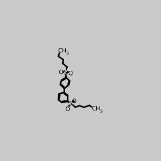 CCCCCS(=O)(=O)c1ccc(-c2cccc(S(=O)(=O)CCCCC)c2)cc1